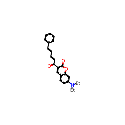 CCN(CC)c1ccc2cc(C(=O)C=CC=Cc3ccccc3)c(=O)oc2c1